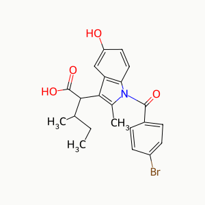 CCC(C)C(C(=O)O)c1c(C)n(C(=O)c2ccc(Br)cc2)c2ccc(O)cc12